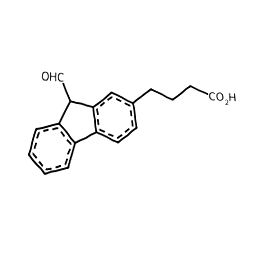 O=CC1c2ccccc2-c2ccc(CCCC(=O)O)cc21